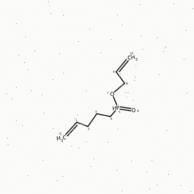 C=CCCC[PH](=O)OCC=C